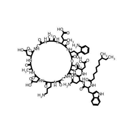 CCC(C)CCCCCCC(=O)NC(Cc1c[nH]c2ccccc12)C(=O)NC(CC(N)=O)C(=O)NC(CC(=O)O)C(=O)NC1C(=O)NCC(=O)NC(CCCN)C(=O)NC(CC(=O)O)C(=O)NC(C)C(=O)NC(CC(=O)O)C(=O)NCC(=O)NC(C)C(=O)NC(C(C)CC(=O)O)C(=O)NC(CC(=O)c2ccccc2N)C(=O)OC1C